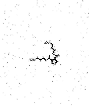 CCCCCCCCCCCCCOC(C)c1cscc1C(C)OCCCCCCCCCCCCC